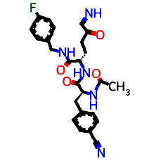 CC(=O)N[C@@H](Cc1ccc(C#N)cc1)C(=O)N[C@@H](CCC(=O)C=N)C(=O)NCc1ccc(F)cc1